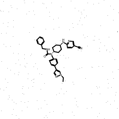 CCn1cc(-c2ccc(N(C(=O)NCc3ccccc3)[C@H]3CC[C@H](Nc4ccc(C#N)cn4)CC3)cc2)cn1